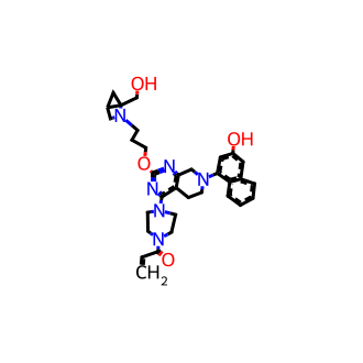 C=CC(=O)N1CCN(c2nc(OCCCN3CC4CC43CO)nc3c2CCN(c2cc(O)cc4ccccc24)C3)CC1